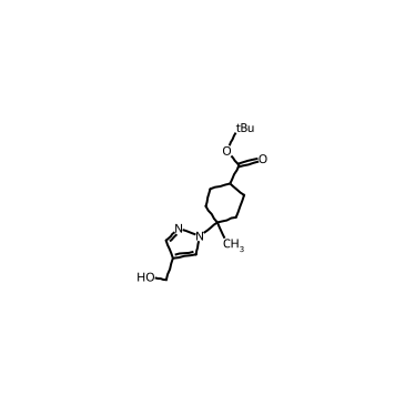 CC(C)(C)OC(=O)C1CCC(C)(n2cc(CO)cn2)CC1